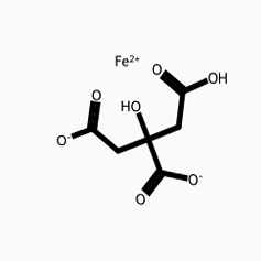 O=C([O-])CC(O)(CC(=O)O)C(=O)[O-].[Fe+2]